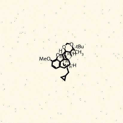 COc1ccc2c3c1O[C@H]1C45C=C[C@@]6(C[C@@H]4[C@@](C)(C(C)(C)C)OCO5)[C@@H](C2)N(CC2CC2)CC[C@]316